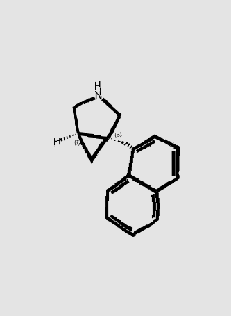 c1ccc2c([C@@]34CNC[C@@H]3C4)cccc2c1